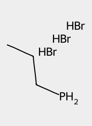 Br.Br.Br.CCCP